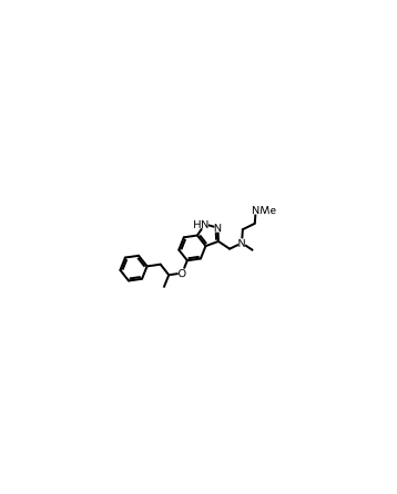 CNCCN(C)Cc1n[nH]c2ccc(OC(C)Cc3ccccc3)cc12